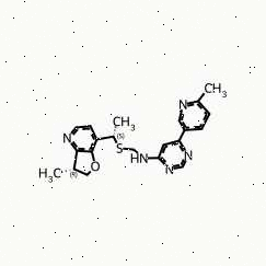 Cc1ccc(-c2cc(NCS[C@@H](C)c3ccnc4c3OC[C@@H]4C)ncn2)cn1